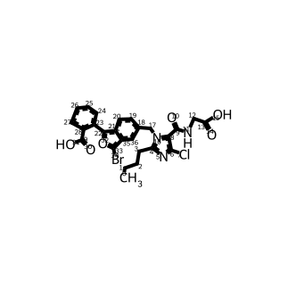 CCCCc1nc(Cl)c(C(=O)NCC(=O)O)n1Cc1ccc2c(-c3ccccc3C(=O)O)oc(Br)c2c1